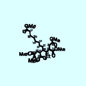 CCC(C(CC(=O)OC)C(=O)OC)C(CCCCCCCC(=O)OC)C(CC(=O)OC)C(=O)OC